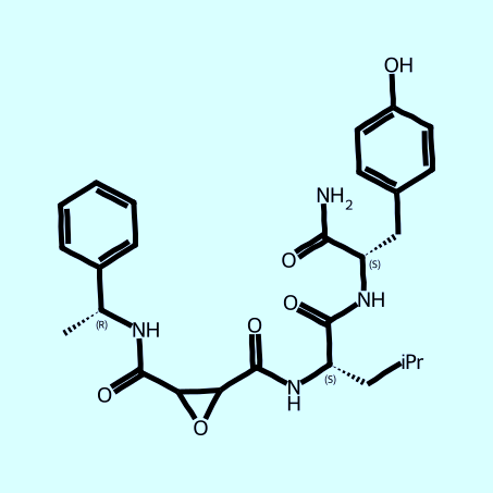 CC(C)C[C@H](NC(=O)C1OC1C(=O)N[C@H](C)c1ccccc1)C(=O)N[C@@H](Cc1ccc(O)cc1)C(N)=O